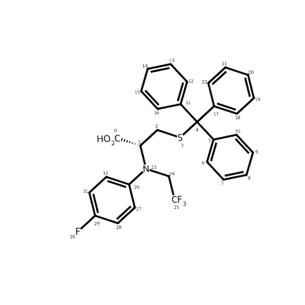 O=C(O)[C@H](CSC(c1ccccc1)(c1ccccc1)c1ccccc1)N(CC(F)(F)F)c1ccc(F)cc1